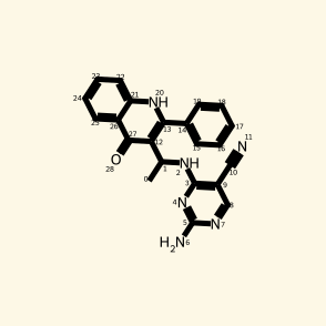 CC(Nc1nc(N)ncc1C#N)c1c(-c2ccccc2)[nH]c2ccccc2c1=O